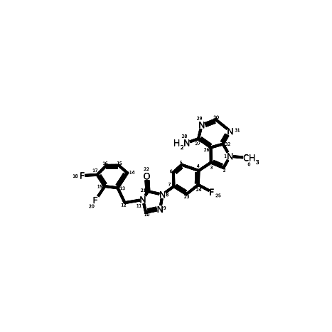 Cn1cc(-c2ccc(-n3ncn(Cc4cccc(F)c4F)c3=O)cc2F)c2c(N)ncnc21